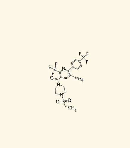 CCS(=O)(=O)N1CCN(C(=O)c2cc(C#N)c(-c3ccc(C(F)(F)F)cc3)nc2C(F)(F)F)CC1